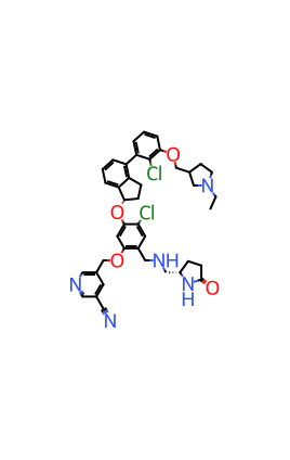 CCN1CCC(COc2cccc(-c3cccc4c3CC[C@@H]4Oc3cc(OCc4cncc(C#N)c4)c(CNC[C@@H]4CCC(=O)N4)cc3Cl)c2Cl)C1